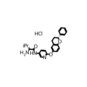 CC(C)C(N)C(=O)Nc1ccc(Oc2ccc3c(c2)CC[C@H](c2ccccc2)O3)nc1.Cl